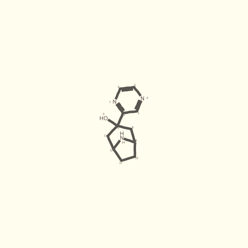 OC1(c2cnccn2)CC2CCC(C1)N2